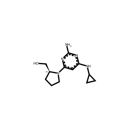 Nc1nc(NC2CC2)cc(N2CCC[C@H]2CO)n1